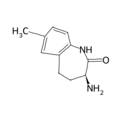 Cc1ccc2c(c1)CC[C@H](N)C(=O)N2